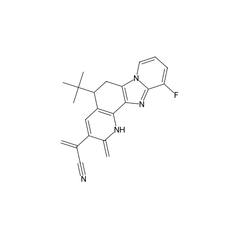 C=C(C#N)C1=CC2=C(NC1=C)c1nc3c(F)cccn3c1CC2C(C)(C)C